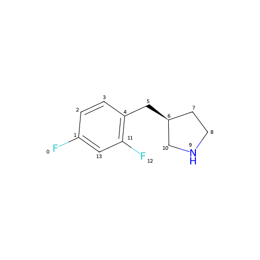 Fc1ccc(C[C@H]2CCNC2)c(F)c1